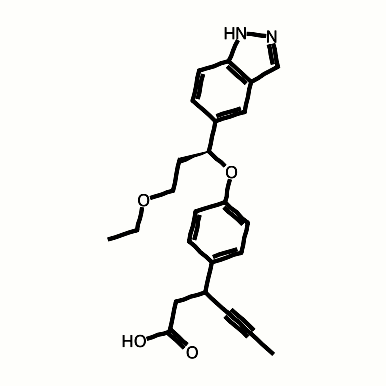 CC#CC(CC(=O)O)c1ccc(O[C@@H](CCOCC)c2ccc3[nH]ncc3c2)cc1